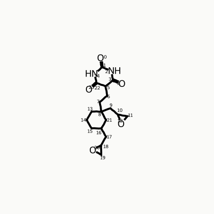 O=C1NC(=O)C(CCC2(CC3CO3)CCCC(CC3CO3)C2)C(=O)N1